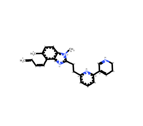 C=C/C=C\c1c(C)ccc2c1nc(CCc1cccc(C3=CCCN=C3)n1)n2C